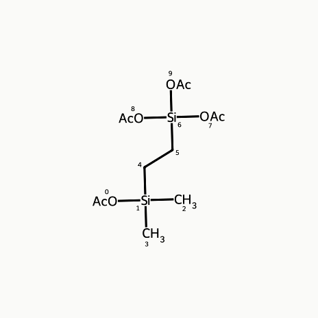 CC(=O)O[Si](C)(C)CC[Si](OC(C)=O)(OC(C)=O)OC(C)=O